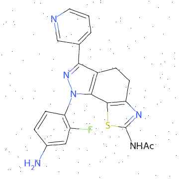 CC(=O)Nc1nc2c(s1)-c1c(c(-c3cccnc3)nn1-c1ccc(N)cc1F)CC2